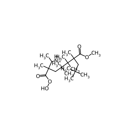 COC(=O)C(C)(CC(C)(C)C)C(C)(C)C(C)(C)CC(C)(C(=O)OO)C(C)N